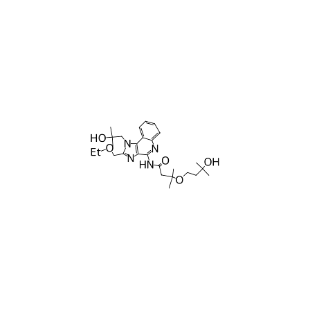 CCOCc1nc2c(NC(=O)CC(C)(C)OCCC(C)(C)O)nc3ccccc3c2n1CC(C)(C)O